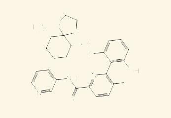 C[C@@H]1C[C@H](c2ccncc2NC(=O)c2ccc(F)c(-c3c(O)cccc3F)n2)C[C@H](N)C12OCCO2